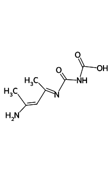 C/C(N)=C\C(C)=N\C(=O)NC(=O)O